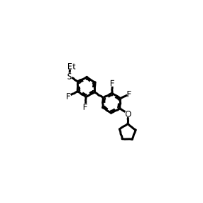 CCSc1ccc(-c2ccc(OC3CCCC3)c(F)c2F)c(F)c1F